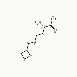 N[C@@H](CCOCC1CCC1)C(=O)O